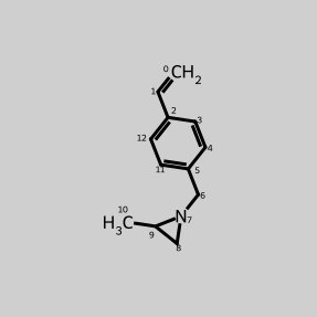 C=Cc1ccc(CN2CC2C)cc1